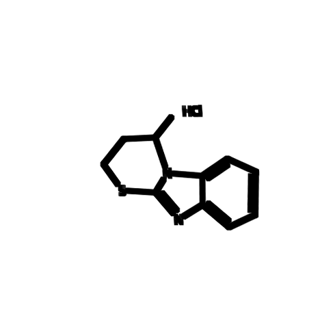 CC1CCSc2nc3ccccc3n21.Cl